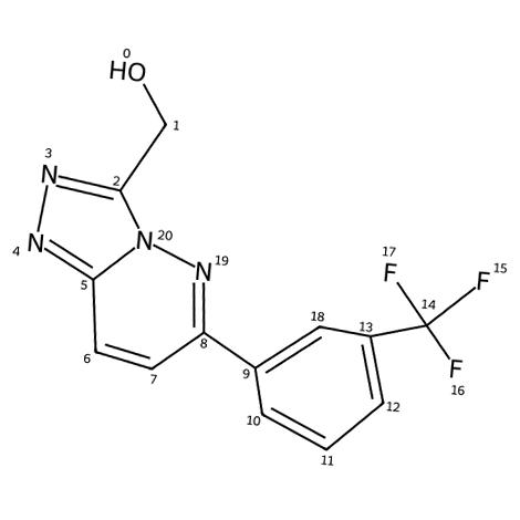 OCc1nnc2ccc(-c3cccc(C(F)(F)F)c3)nn12